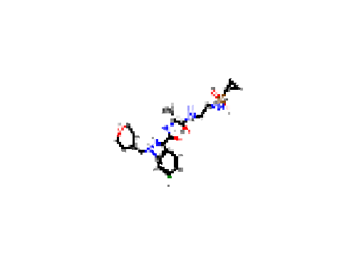 CC(C)(C)[C@H](NC(=O)c1nn(CC2CCOCC2)c2cc(F)ccc12)C(=O)NCCNS(=O)(=O)C1CC1